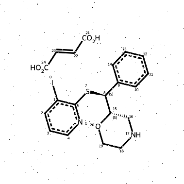 Ic1cccnc1S[C@@H](c1ccccc1)[C@@H]1CNCCO1.O=C(O)C=CC(=O)O